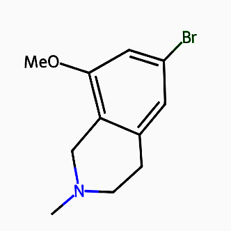 COc1cc(Br)cc2c1CN(C)CC2